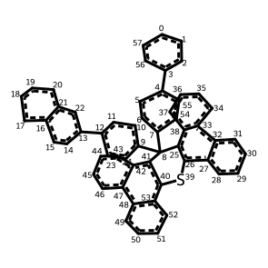 c1ccc(-c2ccc(C3(c4ccc(-c5ccc6ccccc6c5)cc4)c4c(c5ccccc5c5ccccc45)Sc4c3c3ccccc3c3ccccc43)cc2)cc1